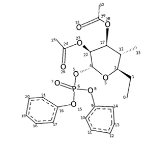 CC[C@H]1O[C@H](OP(=O)(Oc2ccccc2)Oc2ccccc2)[C@@H](OC(C)=O)[C@@H](OC(C)=O)[C@@H]1C